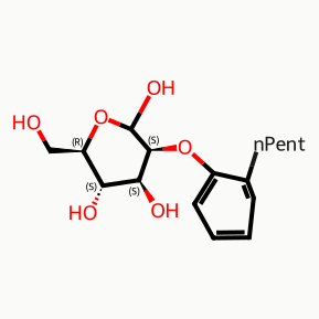 CCCCCc1ccccc1O[C@@H]1C(O)O[C@H](CO)[C@@H](O)[C@@H]1O